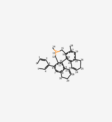 C/C=C\C(=C/C)c1cc2c(c3c1CP(C)Cc1c(C)cc4c(c1-3)C=CCC4)C=CCC2